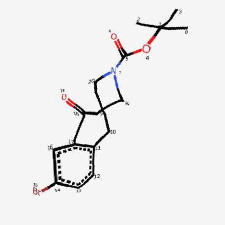 CC(C)(C)OC(=O)N1CC2(Cc3ccc(Br)cc3C2=O)C1